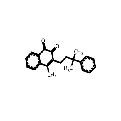 CC1=C(CCC(C)(C)c2ccccc2)C(=O)C(=O)c2ccccc21